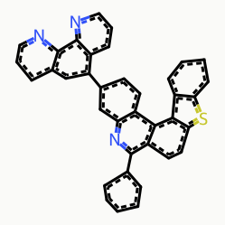 c1ccc(-c2nc3cc(-c4cc5cccnc5c5ncccc45)ccc3c3c2ccc2sc4ccccc4c23)cc1